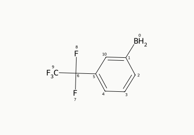 Bc1cccc(C(F)(F)C(F)(F)F)c1